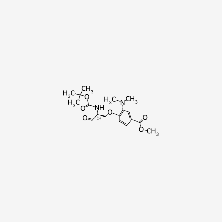 COC(=O)c1ccc(OC[C@@H](C=O)NC(=O)OC(C)(C)C)c(N(C)C)c1